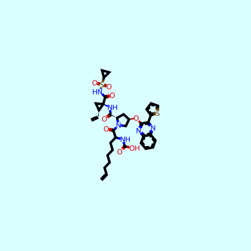 C=CCCCCCC(NC(=O)O)C(=O)N1C[C@H](Oc2nc3ccccc3nc2-c2cccs2)C[C@H]1C(=O)N[C@]1(C(=O)NS(=O)(=O)C2CC2)C[C@H]1C=C